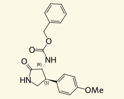 COc1ccc([C@H]2CNC(=O)[C@@H]2NC(=O)OCc2ccccc2)cc1